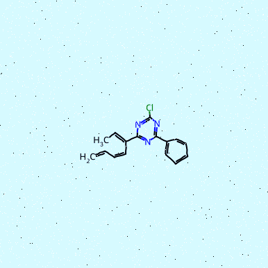 C=C/C=C\C(=C/C)c1nc(Cl)nc(-c2ccccc2)n1